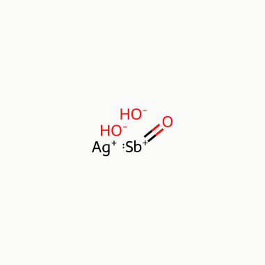 [Ag+].[OH-].[OH-].[O]=[Sb+]